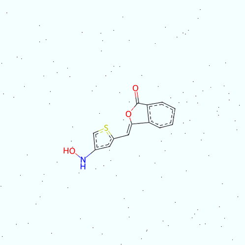 O=C1OC(=Cc2cc(NO)cs2)c2ccccc21